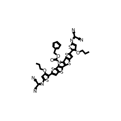 CCCOc1cc(N=C(C#N)C#N)sc1-c1cc2sc3c4sc5cc(-c6sc(N=C(C#N)C#N)cc6OCCC)sc5c4n(C(=O)OCc4ccccc4)c3c2s1